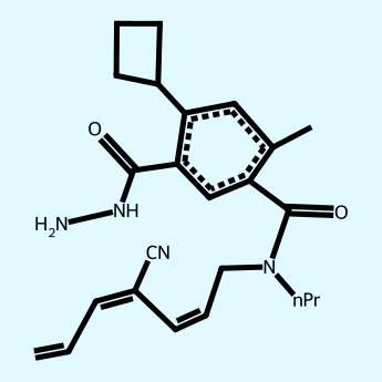 C=C/C=C(C#N)\C=C/CN(CCC)C(=O)c1cc(C(=O)NN)c(C2CCC2)cc1C